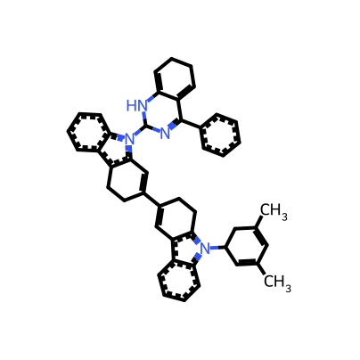 CC1=CC(n2c3c(c4ccccc42)C=C(C2=Cc4c(c5ccccc5n4C4N=C(c5ccccc5)C5=CCCC=C5N4)CC2)CC3)CC(C)=C1